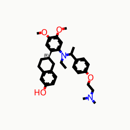 CCN(c1cc(OC)c(OC)cc1[C@@H]1CCc2cc(O)ccc2C1)C(C)c1ccc(OCCN(C)C)cc1